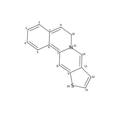 C1=c2ccccc2=C2C=c3sccc3=CN2C1